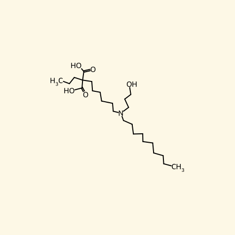 CCCCCCCCCCN(CCCO)CCCCCCC(CCC)(C(=O)O)C(=O)O